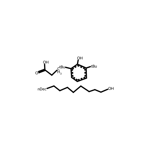 CC(C)(C)c1cccc(C(C)(C)C)c1O.CCC(=O)O.CCCCCCCCCCCCCCCCCCO